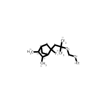 CCOCOC(CC1(F)CC2CC1C(C)C2C)(C(F)(F)F)C(F)(F)F